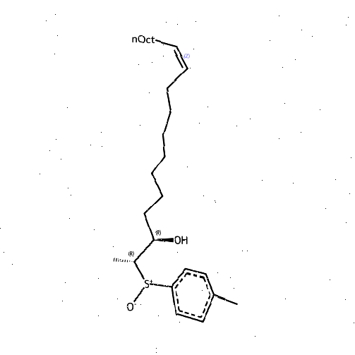 CCCCCCCC/C=C\CCCCCCC[C@@H](O)[C@@H](C)[S+]([O-])c1ccc(C)cc1